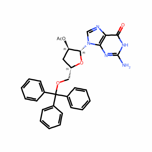 CC(=O)O[C@@H]1C[C@@H](COC(c2ccccc2)(c2ccccc2)c2ccccc2)O[C@H]1n1cnc2c(=O)[nH]c(N)nc21